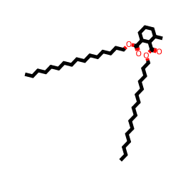 CCCCCCCCCCCCCCCCOC(=O)C1CCCC(C)C1C(=O)OCCCCCCCCCCCCCCCC